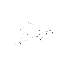 COCCCCc1c(CN(CC(C)C)[C@H]2C[C@@H](C(=O)N3CCOCC3)CN(C(=O)OC(C)(C)C)C2)nnn1-c1ccccc1F